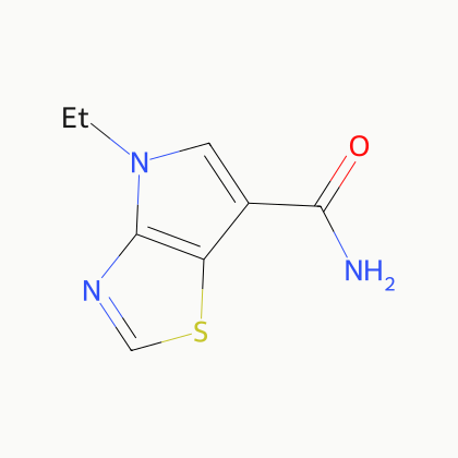 CCn1cc(C(N)=O)c2scnc21